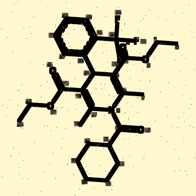 CCOC(=O)C1=C(C)N(C(=O)C2CCCCC2)C(C)=C(C(=O)OCC)C1c1ccccc1C(F)(F)F